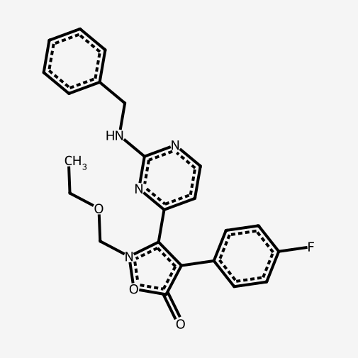 CCOCn1oc(=O)c(-c2ccc(F)cc2)c1-c1ccnc(NCc2ccccc2)n1